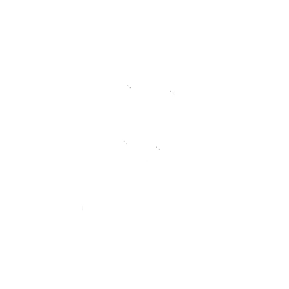 Cc1ccc2c3nc4cc(C#N)c(C#N)cc4nc3c3ccc(C)c4ccc1c2c43